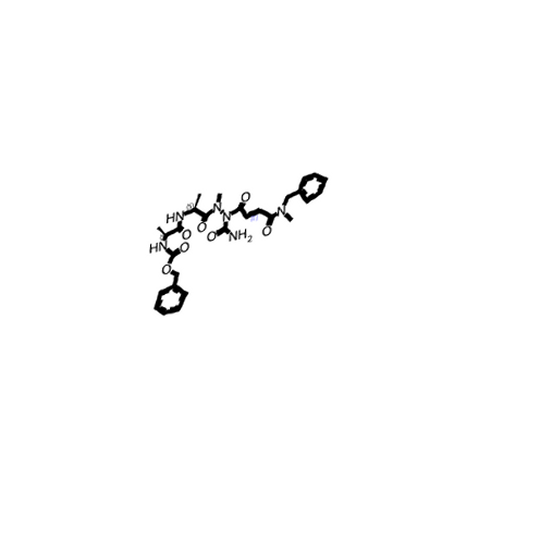 C[C@H](NC(=O)OCc1ccccc1)C(=O)N[C@@H](C)C(=O)N(C)N(C(N)=O)C(=O)/C=C/C(=O)N(C)Cc1ccccc1